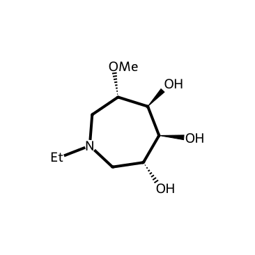 CCN1C[C@@H](O)[C@H](O)[C@H](O)[C@@H](OC)C1